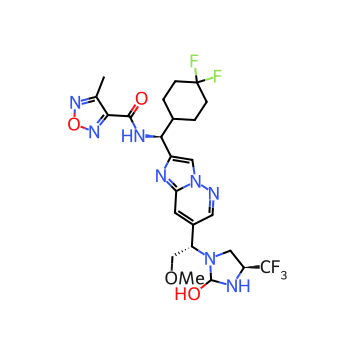 COC[C@H](c1cnn2cc([C@@H](NC(=O)c3nonc3C)C3CCC(F)(F)CC3)nc2c1)N1C[C@@H](C(F)(F)F)NC1O